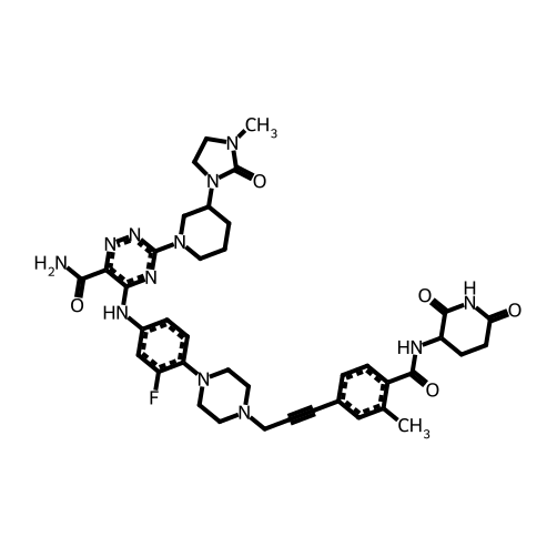 Cc1cc(C#CCN2CCN(c3ccc(Nc4nc(N5CCCC(N6CCN(C)C6=O)C5)nnc4C(N)=O)cc3F)CC2)ccc1C(=O)NC1CCC(=O)NC1=O